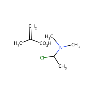 C=C(C)C(=O)O.CC(Cl)N(C)C